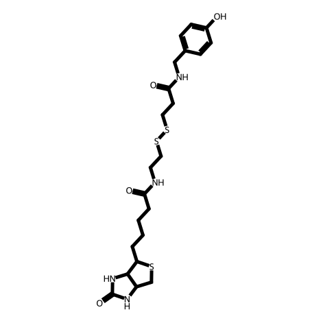 O=C(CCCCC1SCC2NC(=O)NC21)NCCSSCCC(=O)NCc1ccc(O)cc1